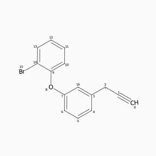 C#C[CH]c1cccc(Oc2ccccc2Br)c1